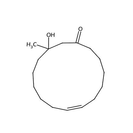 CC1(O)CCCCCC=CCCCCCC(=O)C1